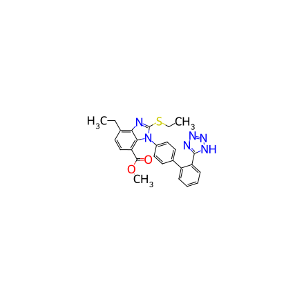 CCSc1nc2c(CC)ccc(C(=O)OC)c2n1-c1ccc(-c2ccccc2-c2nnn[nH]2)cc1